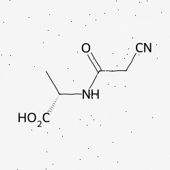 C[C@H](NC(=O)CC#N)C(=O)O